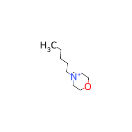 CCCCC[N+]1CCOCC1